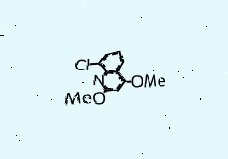 COc1cc(OC)c2cccc(Cl)c2n1